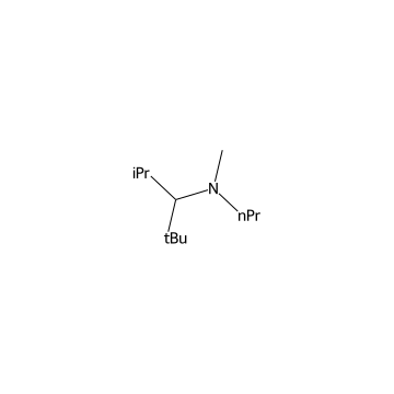 CCCN(C)C(C(C)C)C(C)(C)C